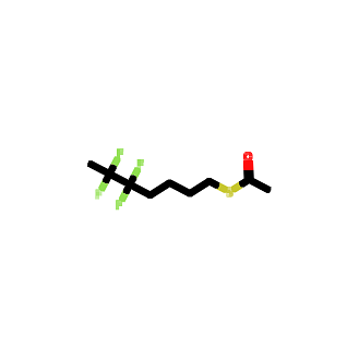 CC(=O)SCCCCC(F)(F)C(C)(F)F